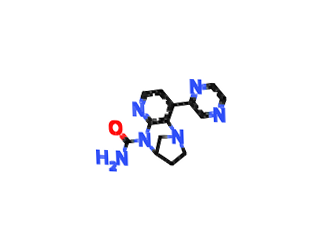 NC(=O)N1c2nccc(-c3cnccn3)c2N2CCC1C2